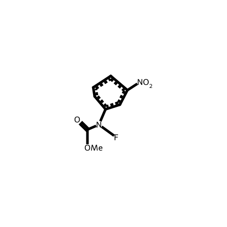 COC(=O)N(F)c1cccc([N+](=O)[O-])c1